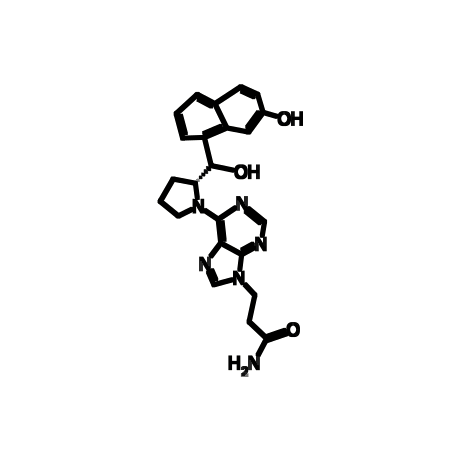 NC(=O)CCn1cnc2c(N3CCC[C@@H]3C(O)c3cccc4ccc(O)cc34)ncnc21